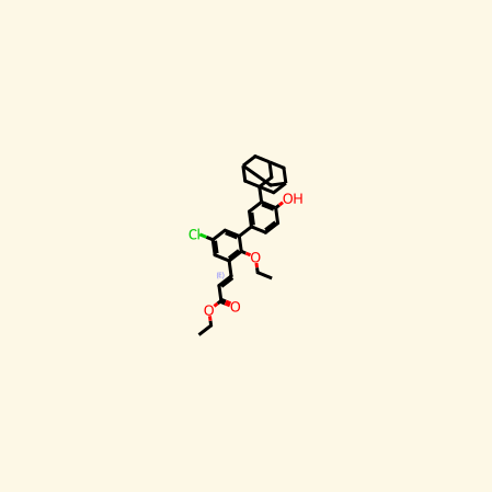 CCOC(=O)/C=C/c1cc(Cl)cc(-c2ccc(O)c(C34CC5CC(CC(C5)C3)C4)c2)c1OCC